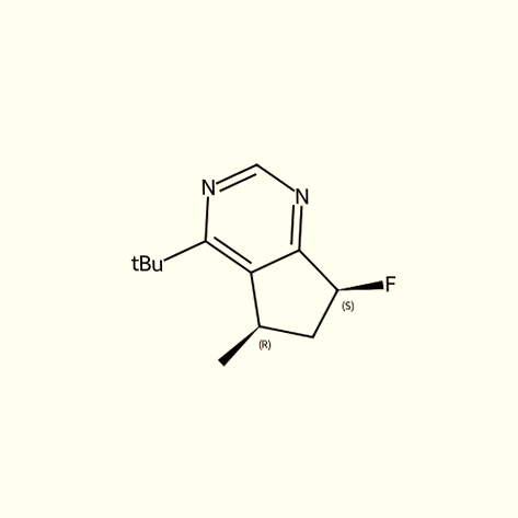 C[C@@H]1C[C@H](F)c2ncnc(C(C)(C)C)c21